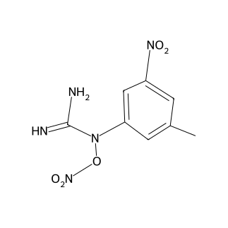 Cc1cc(N(O[N+](=O)[O-])C(=N)N)cc([N+](=O)[O-])c1